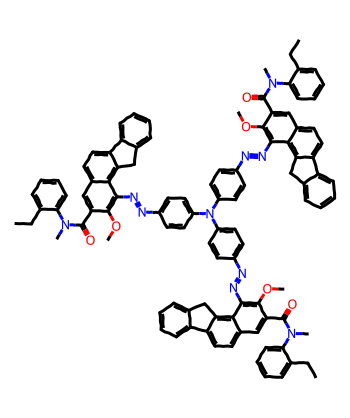 CCc1ccccc1N(C)C(=O)c1cc2ccc3c(c2c(N=Nc2ccc(N(c4ccc(N=Nc5c(OC)c(C(=O)N(C)c6ccccc6CC)cc6ccc7c(c56)Cc5ccccc5-7)cc4)c4ccc(N=Nc5c(OC)c(C(=O)N(C)c6ccccc6CC)cc6ccc7c(c56)Cc5ccccc5-7)cc4)cc2)c1OC)Cc1ccccc1-3